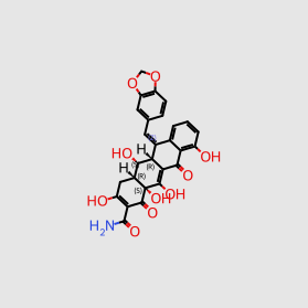 NC(=O)C1=C(O)C[C@@H]2[C@@H](O)[C@H]3C(=C(O)[C@]2(O)C1=O)C(=O)c1c(O)cccc1/C3=C\c1ccc2c(c1)OCO2